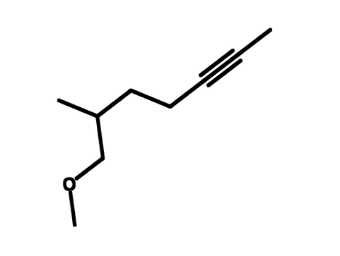 CC#CCCC(C)COC